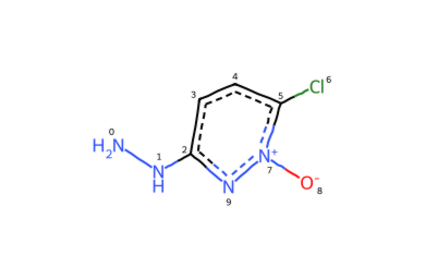 NNc1ccc(Cl)[n+]([O-])n1